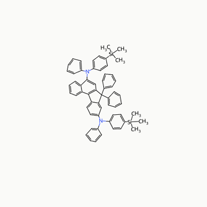 C[Si](C)(C)c1ccc(N(c2ccccc2)c2ccc3c(c2)C(c2ccccc2)(c2ccccc2)c2cc(N(c4ccccc4)c4ccc([Si](C)(C)C)cc4)c4ccccc4c2-3)cc1